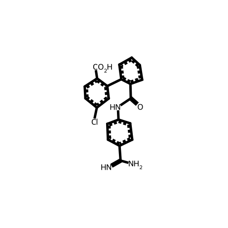 N=C(N)c1ccc(NC(=O)c2ccccc2-c2cc(Cl)ccc2C(=O)O)cc1